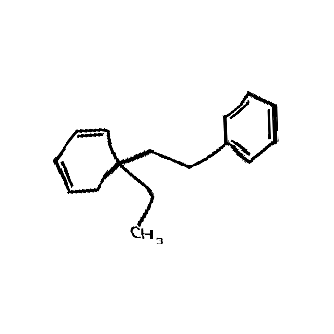 CCC1(CCc2ccccc2)C=CC=CC1